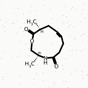 C[C@@H]1COC(=O)[C@H](C)CC=CCCC(=O)N1